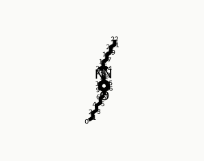 CCCCCCCOc1ccc(-c2ncc(CCCCCCC)cn2)cc1